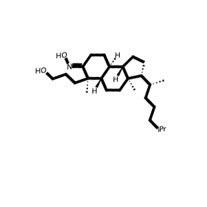 CC(C)CCC[C@@H](C)[C@H]1CC[C@H]2[C@@H]3CCC(=NO)[C@](C)(CCCO)[C@H]3CC[C@]12C